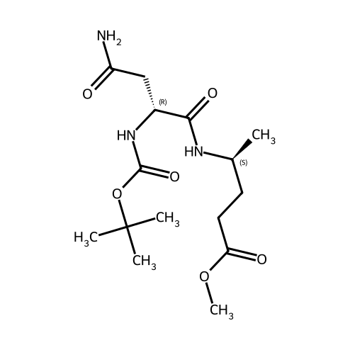 COC(=O)CC[C@H](C)NC(=O)[C@@H](CC(N)=O)NC(=O)OC(C)(C)C